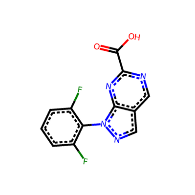 O=C(O)c1ncc2cnn(-c3c(F)cccc3F)c2n1